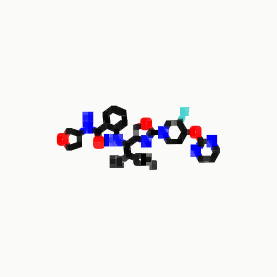 CC/C(C)=C(\Nc1ccccc1C(=O)N[C@H]1CCOC1)C1COC(N2CC[C@H](Oc3ncccn3)[C@H](F)C2)=N1